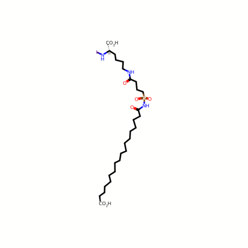 O=C(O)CCCCCCCCCCCCCCCCC(=O)NS(=O)(=O)CCCC(=O)NCCCC[C@H](NI)C(=O)O